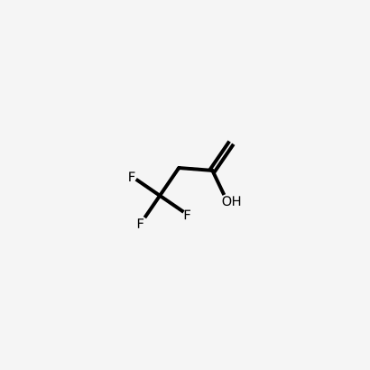 C=C(O)CC(F)(F)F